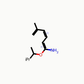 C=C(C)/C=C\C=C(/N)OC(C)C(C)C